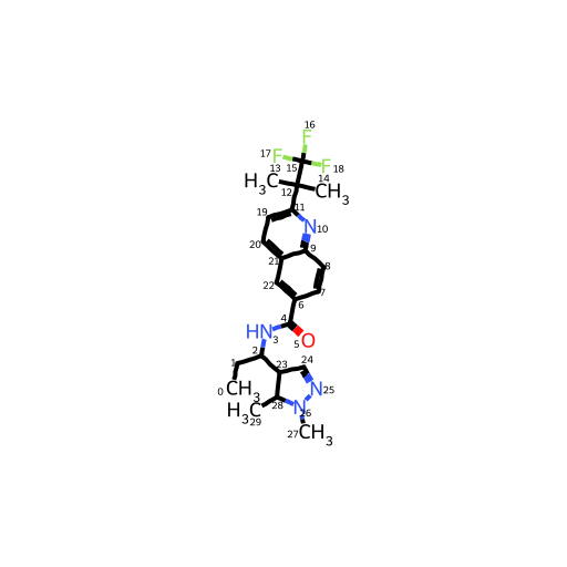 CCC(NC(=O)c1ccc2nc(C(C)(C)C(F)(F)F)ccc2c1)C1C=NN(C)C1C